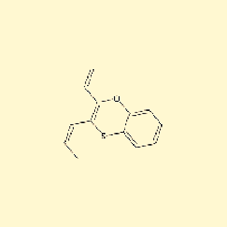 C=CC1=C(/C=C\C)Sc2ccccc2O1